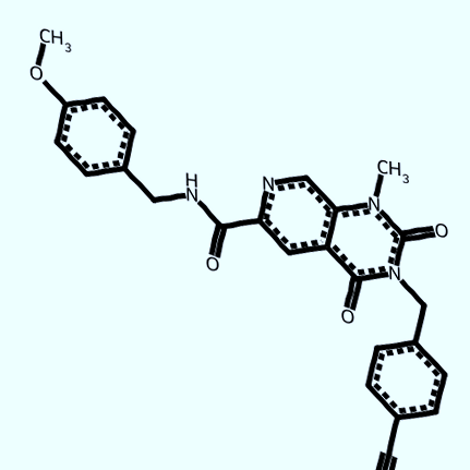 COc1ccc(CNC(=O)c2cc3c(=O)n(Cc4ccc(C#N)cc4)c(=O)n(C)c3cn2)cc1